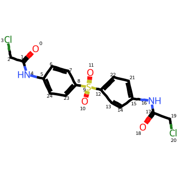 O=C(CCl)Nc1ccc(S(=O)(=O)c2ccc(NC(=O)CCl)cc2)cc1